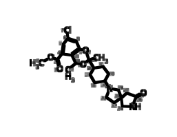 COC(=O)c1cc(Cl)cc2c1C(C)OC(C)(C1CCC(N3CCC4(CNC(=O)C4)C3)CC1)O2